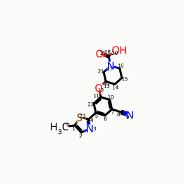 Cc1cnc(-c2cc(C#N)cc(O[C@@H]3CCCN(C(=O)O)C3)c2)s1